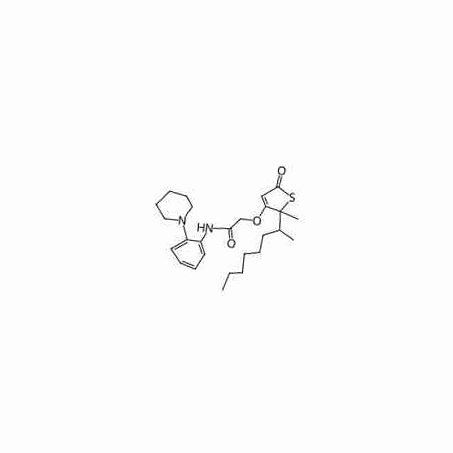 CCCCCCC(C)C1(C)SC(=O)C=C1OCC(=O)Nc1ccccc1N1CCCCC1